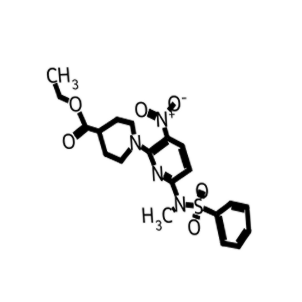 CCOC(=O)C1CCN(c2nc(N(C)S(=O)(=O)c3ccccc3)ccc2[N+](=O)[O-])CC1